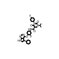 CC(C)n1cc(C(=O)Nc2ccc(Oc3ncnc4[nH]cc(-c5ccccc5)c34)c(F)c2)c(=O)n(-c2ccc(F)cc2)c1=O